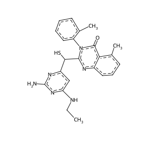 CCNc1cc(C(S)c2nc3cccc(C)c3c(=O)n2-c2ccccc2C)nc(N)n1